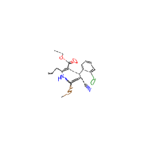 CCCC1=C(C(=O)OCC)C(c2ccccc2Cl)C(C#N)=C(SC)N1